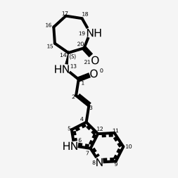 O=C(C=Cc1c[nH]c2ncccc12)N[C@H]1CCCCNC1=O